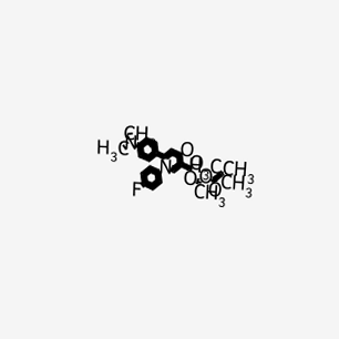 CC(OC(=O)c1cn(-c2ccc(F)cc2)c(-c2ccc(N(C)C)cc2)cc1=O)OC(=O)C(C)(C)C